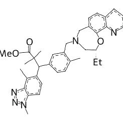 CC[C@@H]1CN(Cc2cc(C(c3ccc4c(nnn4C)c3C)C(C)(C)C(=O)OC)ccc2C)Cc2ccc3cccnc3c2O1